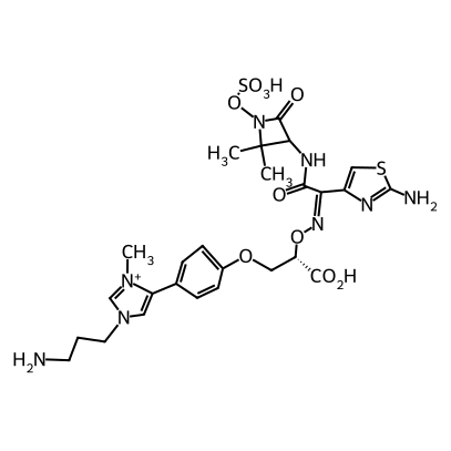 C[n+]1cn(CCCN)cc1-c1ccc(OC[C@H](O/N=C(\C(=O)NC2C(=O)N(OS(=O)(=O)O)C2(C)C)c2csc(N)n2)C(=O)O)cc1